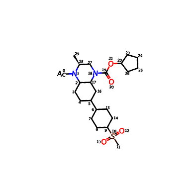 CC(=O)N1C2CCC(C3CCC(S(C)(=O)=O)CC3)CC2N(C(=O)OC2CCCC2)C[C@@H]1C